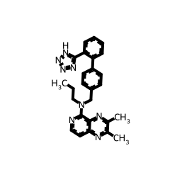 CCCN(Cc1ccc(-c2ccccc2-c2nnn[nH]2)cc1)c1nccc2nc(C)c(C)nc12